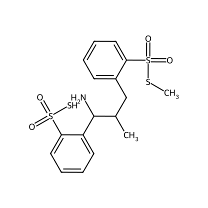 CSS(=O)(=O)c1ccccc1CC(C)C(N)c1ccccc1S(=O)(=O)S